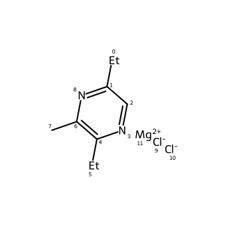 CCc1cnc(CC)c(C)n1.[Cl-].[Cl-].[Mg+2]